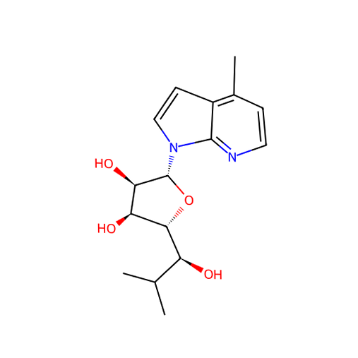 Cc1ccnc2c1ccn2[C@@H]1O[C@H]([C@@H](O)C(C)C)[C@@H](O)[C@H]1O